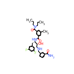 CCCN(CCC)C(=O)c1cc(C)cc(C(=O)N[C@@H](Cc2cc(F)cc(F)c2)[C@H](O)CNCc2cccc(C(N)=O)c2)c1